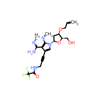 C=CCO[C@@H]1C[C@H](n2cc(C#CCNC(=O)C(F)(F)F)c(/C(N)=N\C)c2N=C)O[C@@H]1CO